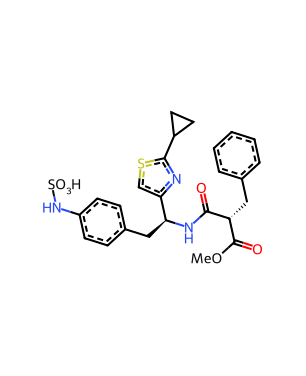 COC(=O)[C@@H](Cc1ccccc1)C(=O)N[C@@H](Cc1ccc(NS(=O)(=O)O)cc1)c1csc(C2CC2)n1